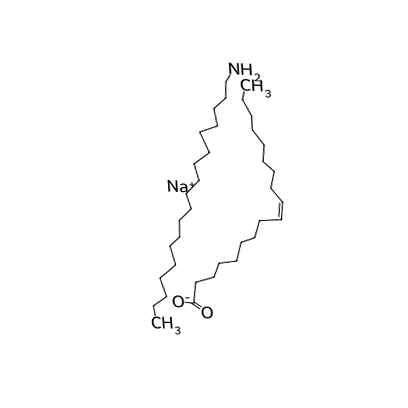 CCCCCCCC/C=C\CCCCCCCC(=O)[O-].CCCCCCCCCCCCCCCCCCN.[Na+]